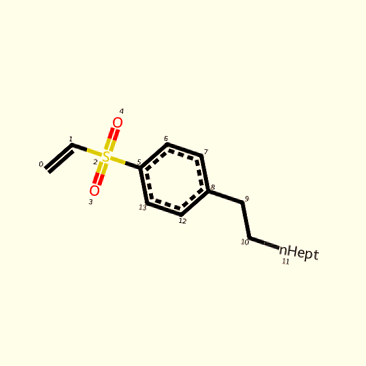 C=CS(=O)(=O)c1ccc(CCCCCCCCC)cc1